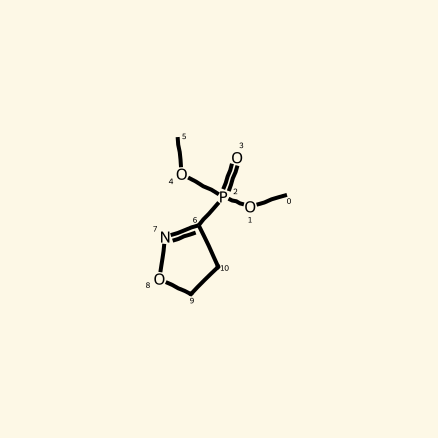 COP(=O)(OC)C1=NOCC1